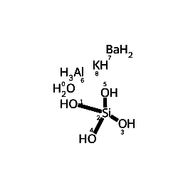 O.O[Si](O)(O)O.[AlH3].[BaH2].[KH]